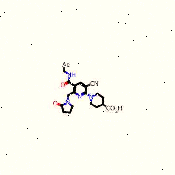 CC(=O)CNC(=O)c1cc(C#N)c(N2CCC(C(=O)O)CC2)nc1CN1CCCC1=O